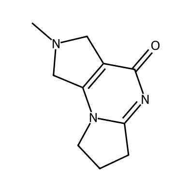 CN1Cc2c(n3c(nc2=O)CCC3)C1